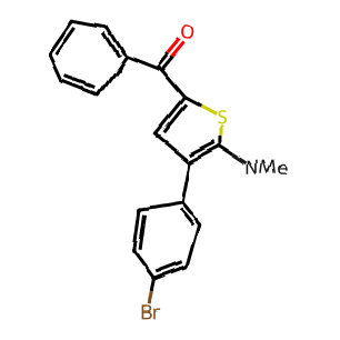 CNc1sc(C(=O)c2ccccc2)cc1-c1ccc(Br)cc1